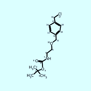 CC(C)(C)OC(=O)NCCOCc1ccc(CCl)cc1